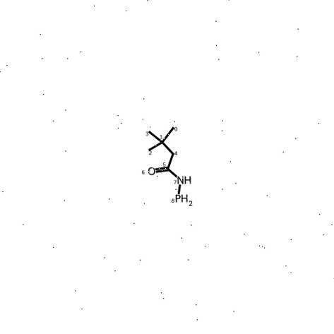 CC(C)(C)CC(=O)NP